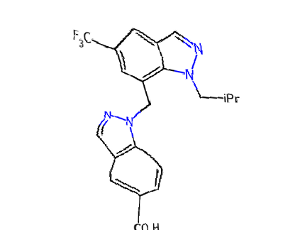 CC(C)Cn1ncc2cc(C(F)(F)F)cc(Cn3ncc4cc(C(=O)O)ccc43)c21